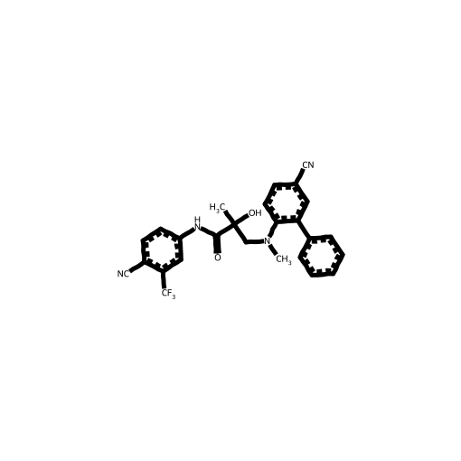 CN(CC(C)(O)C(=O)Nc1ccc(C#N)c(C(F)(F)F)c1)c1ccc(C#N)cc1-c1ccccc1